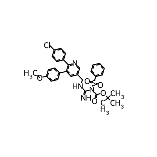 COc1ccc(-c2cc(CNC(=N)N(C(=O)OC(C)(C)C)S(=O)(=O)c3ccccc3)cnc2-c2ccc(Cl)cc2)cc1